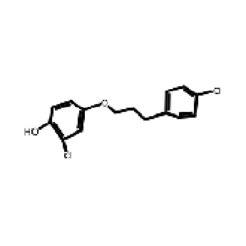 Oc1ccc(OCCCc2ccc(Cl)cc2)cc1Cl